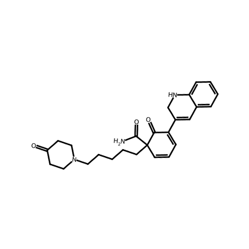 NC(=O)C1(CCCCCN2CCC(=O)CC2)C=CC=C(C2=Cc3ccccc3NC2)C1=O